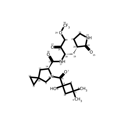 CC1(C)CC(O)(C(=O)N2CC3(CC3)C[C@H]2C(=O)N[C@@H](C[C@@H]2CCNC2=O)C(=O)COC(F)(F)F)C1